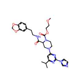 COCCOC(=O)N1CCN(c2cc(C(C)C)nc(-n3ccnc3)n2)CC1C(=O)NCCc1ccc2c(c1)OCO2